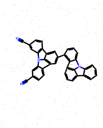 N#Cc1ccc2c3cc(-c4cccc5c4c4cccc6c7ccccc7n5c64)cc4c5ccc(C#N)cc5n(c2c1)c34